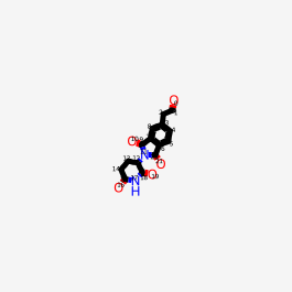 O=CCc1ccc2c(c1)C(=O)N(C1CCC(=O)NC1=O)C2=O